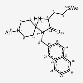 CSCCC1NC2(CCN(C(C)=O)CC2)N(Cc2ccc3ccccc3c2)C1=O